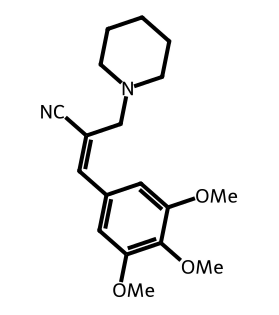 COc1cc(C=C(C#N)CN2CCCCC2)cc(OC)c1OC